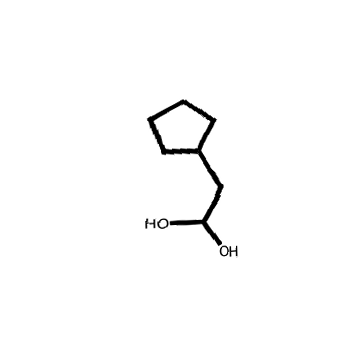 OC(O)CC1CCCC1